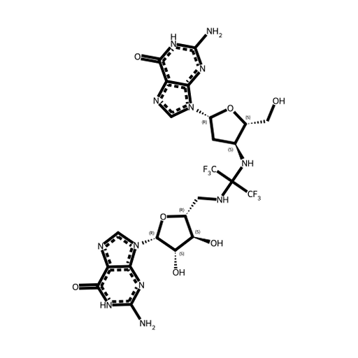 Nc1nc2c(ncn2[C@@H]2O[C@H](CNC(N[C@H]3C[C@H](n4cnc5c(=O)[nH]c(N)nc54)O[C@@H]3CO)(C(F)(F)F)C(F)(F)F)[C@@H](O)[C@@H]2O)c(=O)[nH]1